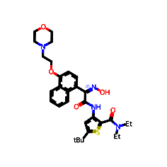 CCN(CC)C(=O)c1sc(C(C)(C)C)cc1NC(=O)/C(=N\O)c1ccc(OCCN2CCOCC2)c2ccccc12